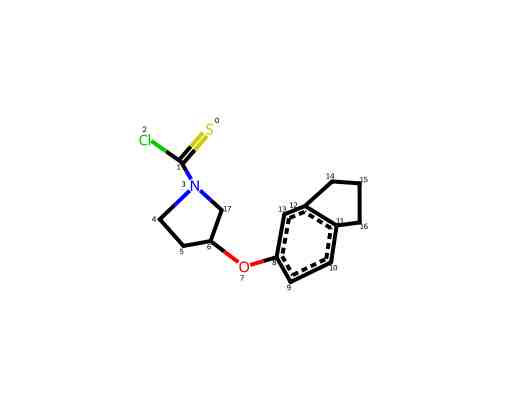 S=C(Cl)N1CCC(Oc2ccc3c(c2)CCC3)C1